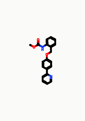 COC(=O)Nc1ccccc1COc1ccc(-c2ccccn2)cc1